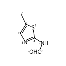 Cc1cnc(N[C]=O)s1